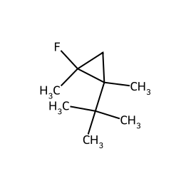 CC(C)(C)C1(C)CC1(C)F